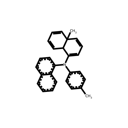 Cc1ccc(N(C2=CC=CC3(C)C=CC=CC23)c2cccc3ccccc23)cc1